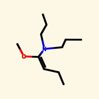 CC/C=C(/OC)N(CCC)CCC